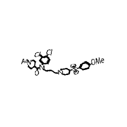 COc1ccc(S(=O)(=O)C2CCN(CCCN(C(=O)C3CCN(C(C)=O)CC3)c3ccc(Cl)c(Cl)c3)CC2)cc1